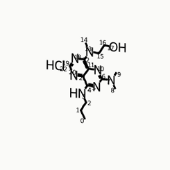 CCCNc1nc(N(C)C)nc2c(N(C)CCO)ncnc12.Cl